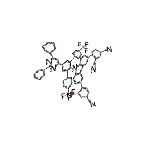 N#Cc1ccc(-c2ccc3c(c2)c2cc(-c4ccc(C#N)cc4C#N)ccc2n3-c2c(-c3ccc(C(F)(F)F)cc3)cc(-c3cc(-c4ccccc4)nc(-c4ccccc4)n3)cc2-c2ccc(C(F)(F)F)cc2)c(C#N)c1